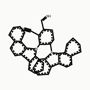 N#Cc1c(C=N)ccc(-n2c3ccccc3c3ccc4ccccc4c32)c1-n1c2ccccc2c2ccc3ccccc3c21